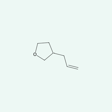 C=CC[C]1CCOC1